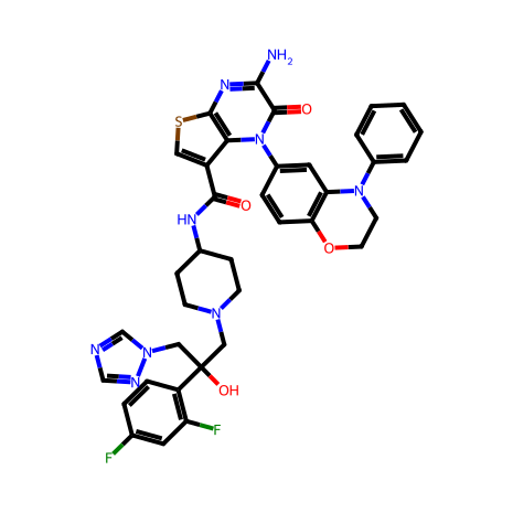 Nc1nc2scc(C(=O)NC3CCN(CC(O)(Cn4cncn4)c4ccc(F)cc4F)CC3)c2n(-c2ccc3c(c2)N(c2ccccc2)CCO3)c1=O